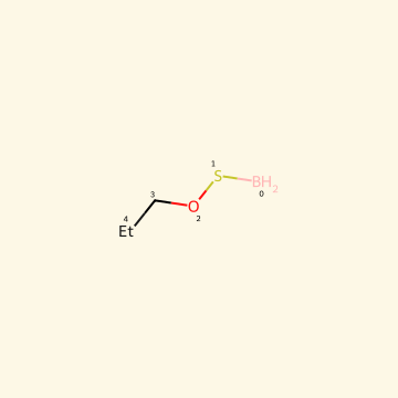 BSOCCC